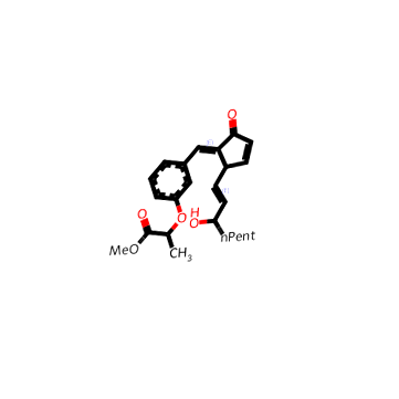 CCCCCC(O)/C=C/C1C=CC(=O)/C1=C/c1cccc(OC(C)C(=O)OC)c1